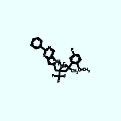 COc1ccc(F)cc1C(C)(C)CC(O)(Cc1cc2nc(-c3ccccc3)ncc2[nH]1)C(F)(F)F